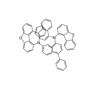 c1ccc(-c2ccc(N(c3ccc(-c4cccc5oc6cccc(N(c7ccccc7)c7ccccc7)c6c45)c4ccccc34)c3cccc4sc5ccccc5c34)cc2)cc1